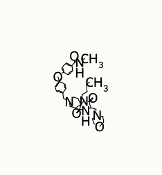 CCCCN1C(=O)C(CN2CCOCC2)NC(=O)C12CCN(Cc1ccc(Oc3ccc(C(=O)NC)cc3)cc1)CC2